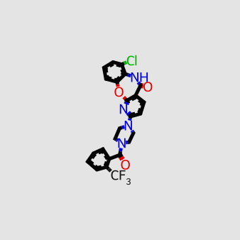 O=C1Nc2c(Cl)cccc2Oc2nc(N3CCN(C(=O)c4ccccc4C(F)(F)F)CC3)ccc21